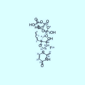 C=C=C[C@]1(COP(=O)(O)OP(=O)(O)OP(=O)(O)O)O[C@@H](N2C=CC(=O)NC2=C)[C@@H](F)[C@@H]1O